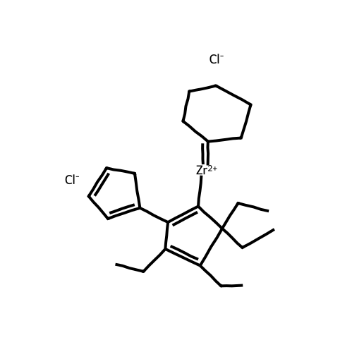 CCC1=C(CC)C(CC)(CC)[C]([Zr+2]=[C]2CCCCC2)=C1C1=CC=CC1.[Cl-].[Cl-]